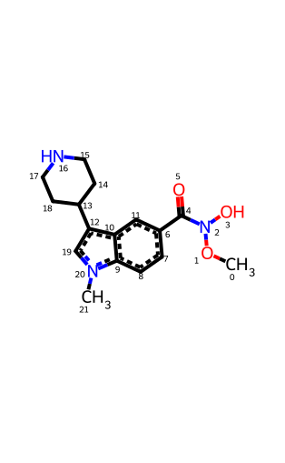 CON(O)C(=O)c1ccc2c(c1)c(C1CCNCC1)cn2C